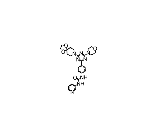 O=C(Nc1ccc(-c2nc(N3CCOCC3)nc(N3CCC4(CC3)OCCO4)n2)cc1)Nc1cccnc1